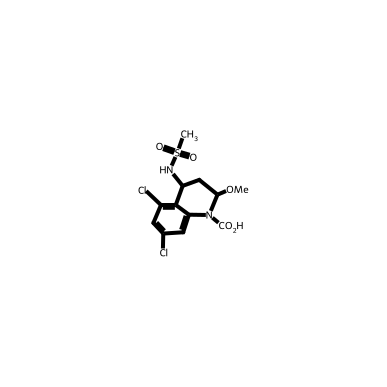 COC1CC(NS(C)(=O)=O)c2c(Cl)cc(Cl)cc2N1C(=O)O